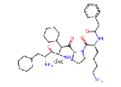 NCCCC[C@H](NC(=O)Cc1ccccc1)C(=O)N1CCC[C@H]1C(=O)C(C1CCCCC1)[C@](N)([C]=O)C(=O)[C@H](N)CC1CCCCC1